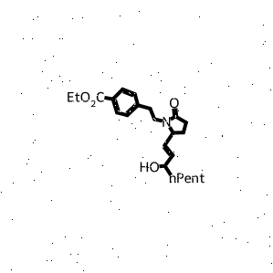 CCCCCC(O)C=CC1CCC(=O)N1CCc1ccc(C(=O)OCC)cc1